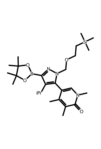 Cc1c(-c2c(C(C)C)c(B3OC(C)(C)C(C)(C)O3)nn2COCC[Si](C)(C)C)cn(C)c(=O)c1C